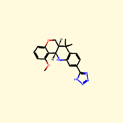 COc1cccc2c1[C@H]1Nc3cc(-c4nnn[nH]4)ccc3C(C)(C)[C@H]1CO2